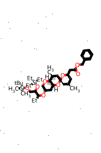 CCC(O[C@H]1CO[C@@H]2[C@H](C1)O[C@]1(C[C@H](C)CC(CC(=O)OCc3ccccc3)O1)C[C@@H]2C)C(CO[Si](C)(C)C(C)(C)C)O[Si](CC)(CC)CC